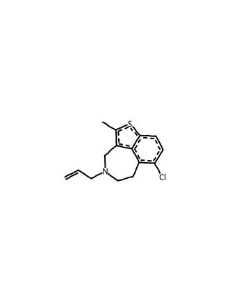 C=CCN1CCc2c(Cl)ccc3sc(C)c(c23)C1